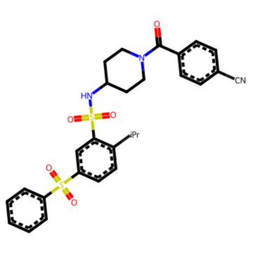 CC(C)c1ccc(S(=O)(=O)c2ccccc2)cc1S(=O)(=O)NC1CCN(C(=O)c2ccc(C#N)cc2)CC1